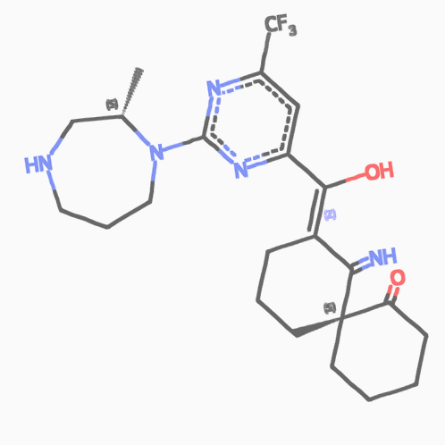 C[C@H]1CNCCCN1c1nc(/C(O)=C2\CCC[C@@]3(CCCCC3=O)C2=N)cc(C(F)(F)F)n1